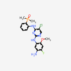 COc1cc(F)c(N)cc1Nc1ncc(Cl)c(Nc2ccccc2P(C)(C)=O)n1